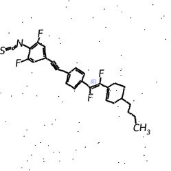 CCCCC1CC=C(/C(F)=C(\F)c2ccc(C#Cc3cc(F)c(N=C=S)c(F)c3)cc2)CC1